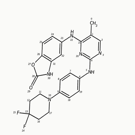 Cc1cnc(Nc2ccc(N3CCC(F)(F)CC3)cc2)nc1Nc1ccc2oc(=O)[nH]c2c1